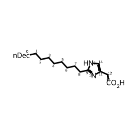 CCCCCCCCCCCCCCCCCCc1nc(CC(=O)O)c[nH]1